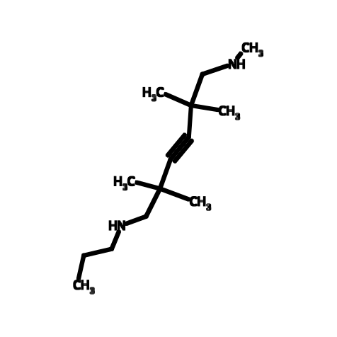 CCCNCC(C)(C)C#CC(C)(C)CNC